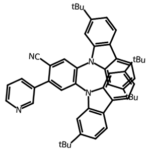 CC(C)(C)c1ccc2c3ccc(C(C)(C)C)cc3n(-c3cc(C#N)c(-c4cccnc4)cc3-n3c4cc(C(C)(C)C)ccc4c4ccc(C(C)(C)C)cc43)c2c1